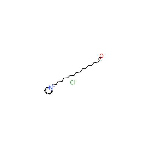 O=C=CCCCCCCCCCCCCCCC[n+]1ccccc1.[Cl-]